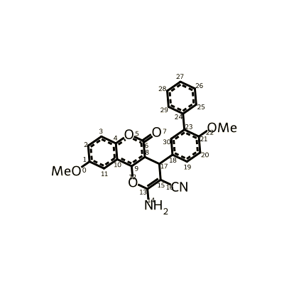 COc1ccc2oc(=O)c3c(c2c1)OC(N)=C(C#N)C3c1ccc(OC)c(-c2ccccc2)c1